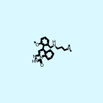 COc1cccc(CNCCCN(C)C)c1-c1cc2n[nH]c(=O)n2c2ccccc12